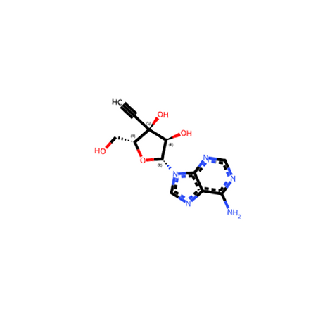 C#C[C@@]1(O)[C@@H](CO)O[C@@H](n2cnc3c(N)ncnc32)[C@@H]1O